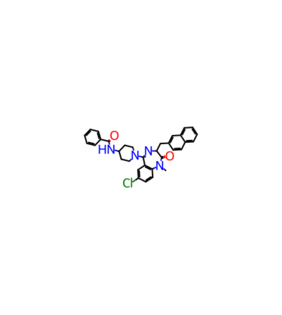 CN1C(=O)C(Cc2ccc3ccccc3c2)N=C(N2CCC(NC(=O)c3ccccc3)CC2)c2cc(Cl)ccc21